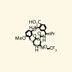 CCC[C@@H](NC(=O)N1C/C(=N\OCC(F)(F)F)NC[C@H](Cc2cc(Cl)ccc2OC)C1=O)c1ccc(C(=O)O)c(N)c1